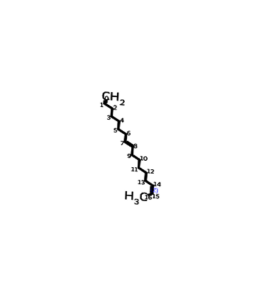 C=CCCCCCC=CCCCCC/C=C\C